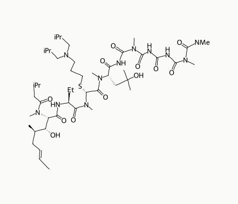 C/C=C/C[C@@H](C)[C@@H](O)[C@@H](C(=O)N[C@@H](CC)C(=O)N(C)[C@H](SCCCN(CC(C)C)CC(C)C)C(=O)N(C)[C@@H](CC(C)(C)O)C(=O)NC(=O)N(C)C(=O)NC(=O)NC(=O)N(C)C(=O)NC)N(C)C(=O)CC(C)C